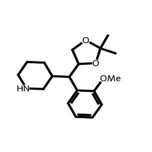 COc1ccccc1C(C1CCCNC1)C1COC(C)(C)O1